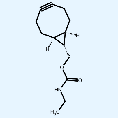 CCNC(=O)OC[C@H]1[C@@H]2CCC#CCC[C@@H]21